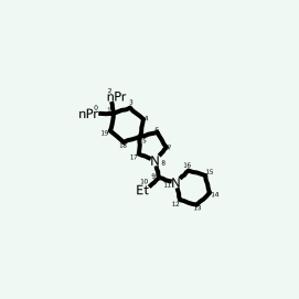 CCCC1(CCC)CCC2(CCN(C(CC)N3CCCCC3)C2)CC1